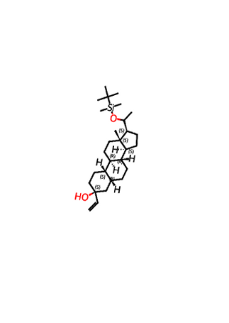 C=C[C@]1(O)CC[C@H]2[C@H](CC[C@@H]3[C@@H]2CC[C@]2(C)[C@@H](C(C)O[Si](C)(C)C(C)(C)C)CC[C@@H]32)C1